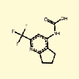 O=C(O)Nc1cc(C(F)(F)F)nc2c1CCC2